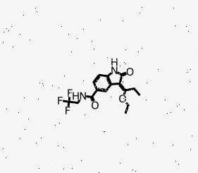 CCOC(CC)=C1C(=O)Nc2ccc(C(=O)NCC(F)(F)F)cc21